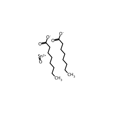 CCCCCCCC(=O)[O-].CCCCCCCC(=O)[O-].[O]=[Sn+2]